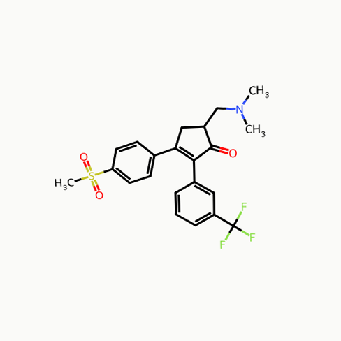 CN(C)CC1CC(c2ccc(S(C)(=O)=O)cc2)=C(c2cccc(C(F)(F)F)c2)C1=O